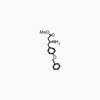 COC(=O)CC(N)Cc1ccc(OCc2ccccc2)cc1